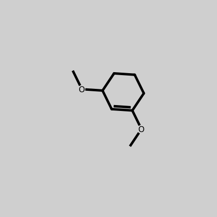 COC1=CC(OC)CCC1